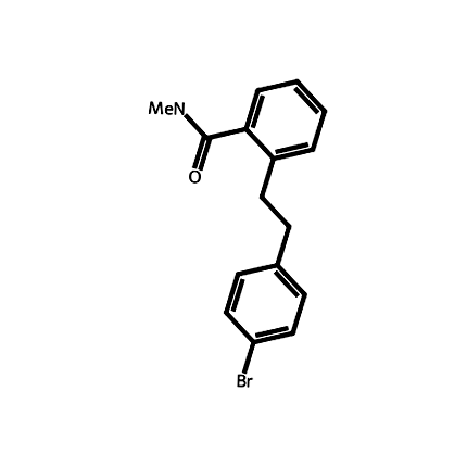 CNC(=O)c1ccccc1CCc1ccc(Br)cc1